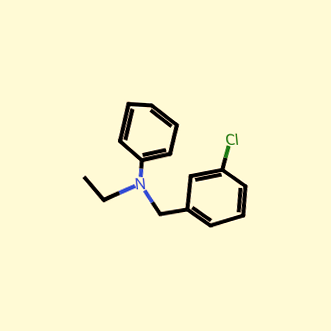 CCN(Cc1cccc(Cl)c1)c1ccccc1